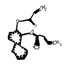 C=CC(=O)Oc1ccc2ccccc2c1OC(=O)C=C